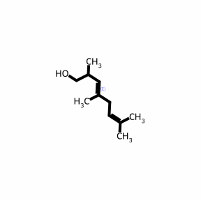 CC(C)=CC/C(C)=C/C(C)CO